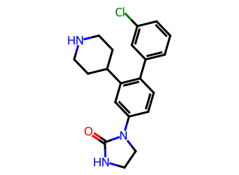 O=C1NCCN1c1ccc(-c2cccc(Cl)c2)c(C2CCNCC2)c1